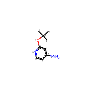 CC(C)(C)Oc1cc(N)ccn1